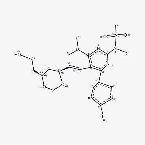 CC(C)c1nc(N(C)S(C)(=O)=O)nc(-c2ccc(F)cc2)c1/C=C/[C@@H]1C[C@H](CCO)OCO1